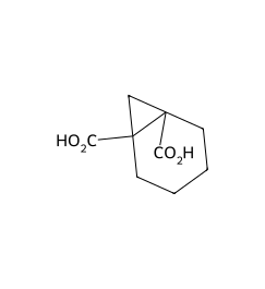 O=C(O)C12CCCCC1(C(=O)O)C2